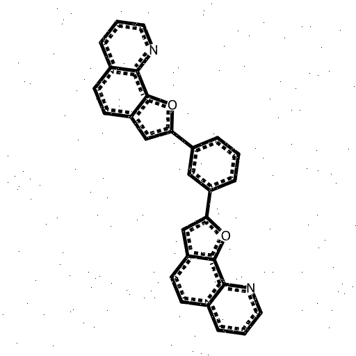 c1cc(-c2cc3ccc4cccnc4c3o2)cc(-c2cc3ccc4cccnc4c3o2)c1